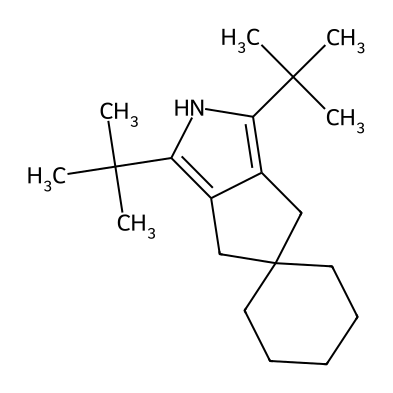 CC(C)(C)c1[nH]c(C(C)(C)C)c2c1CC1(CCCCC1)C2